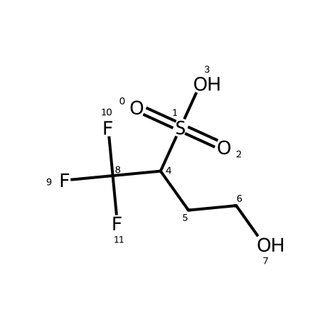 O=S(=O)(O)C(CCO)C(F)(F)F